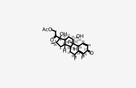 CC(=O)OCC(=O)[C@@]1(O)[C@H](C)C[C@H]2[C@@H]3C[C@H](F)C4=C(F)C(=O)C=C[C@]4(C)[C@@]3(F)[C@@H](O)C[C@@]21C